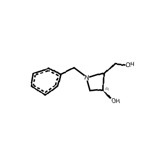 OCC1[C@@H](O)CN1Cc1ccccc1